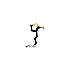 CCCCCCCCC1=C(Br)SCC1